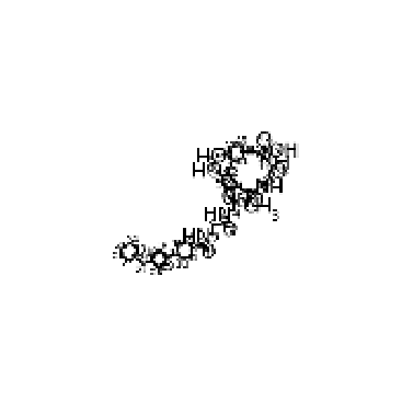 CN(C(=O)CNC(=O)CCNC(=O)c1ccc(-c2ccc(CC3CCCCC3)cc2)cc1)[C@@H]1C(=O)NCC(=O)N[C@H](C(=O)O)Cc2ccc(O)c(c2)-c2cc1ccc2O